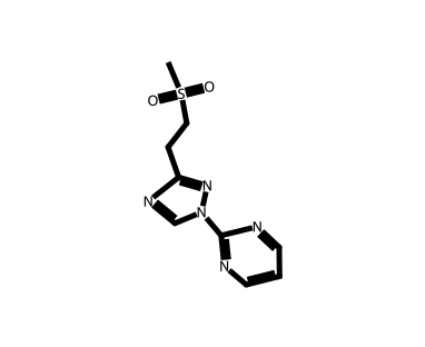 CS(=O)(=O)CCc1ncn(-c2ncccn2)n1